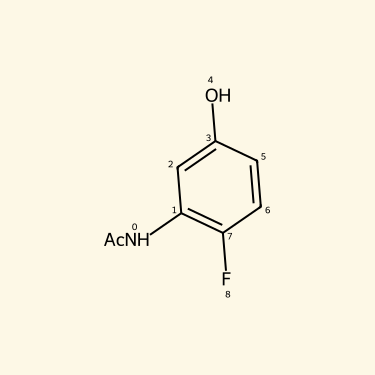 CC(=O)Nc1cc(O)ccc1F